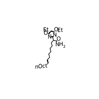 CCCCCCCC/C=C/CCCCCCC(C(N)=O)c1nc(OCC)cc(OCC)n1